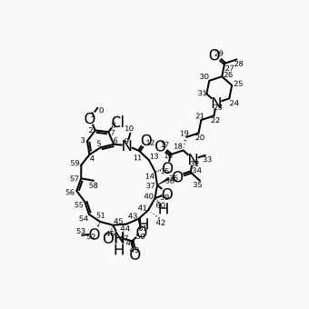 COc1cc2cc(c1Cl)N(C)C(=O)C[C@H](OC(=O)[C@H](CCCCN1CCC(C(C)=O)CC1)N(C)C(C)=O)[C@]1(C)O[C@H]1[C@H](C)[C@@H]1C[C@@](O)(NC(=O)O1)[C@H](OC)/C=C/C=C(\C)C2